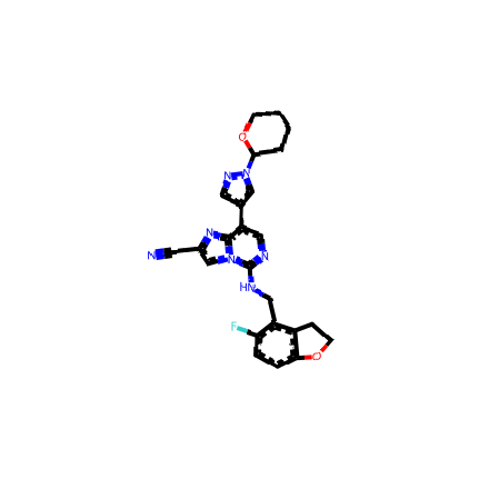 N#Cc1cn2c(NCc3c(F)ccc4c3CCO4)ncc(-c3cnn(C4CCCCO4)c3)c2n1